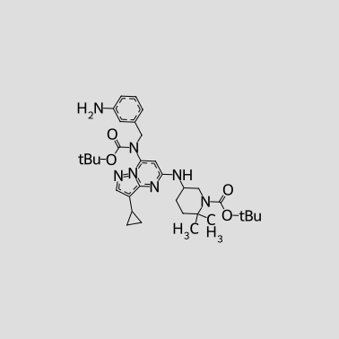 CC(C)(C)OC(=O)N(Cc1cccc(N)c1)c1cc(NC2CCC(C)(C)N(C(=O)OC(C)(C)C)C2)nc2c(C3CC3)cnn12